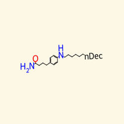 CCCCCCCCCCCCCCCCNc1ccc(CCCC(N)=O)cc1